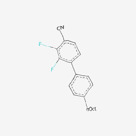 CCCCCCCCc1ccc(-c2ccc(C#N)c(F)c2F)cc1